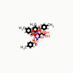 Cc1ccc(S(=O)(=O)ON(CC(C(O)C(O)(O)O)N(OS(=O)(=O)c2ccc(C)cc2)OS(=O)(=O)c2ccc(C)cc2)OS(=O)(=O)c2ccc(C)cc2)cc1